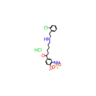 COc1ccc(C(=O)CCCCCNCCc2ccccc2Cl)cc1NS(C)(=O)=O.Cl